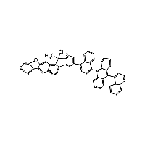 CC1(C)c2ccc(-c3ccc(-c4c5ccccc5c(C5=CC=CC6C=CC=CC56)c5ccccc45)c4ccccc34)cc2-c2ccc3cc4c(cc3c21)oc1ccccc14